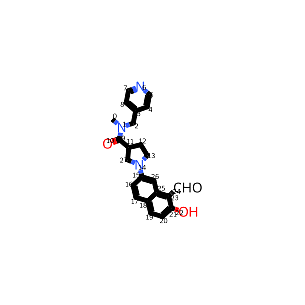 CN(Cc1ccncc1)C(=O)C1CCN(c2ccc3ccc(O)c(C=O)c3c2)C1